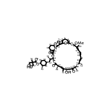 CO[C@H]1C[C@@H]2CC[C@@H](C)[C@@](O)(O2)C(=O)C(=O)N2CCCC[C@H]2C(=O)O[C@H]([C@H](C)C[C@@H]2CC[C@@H](OC(=O)C(C)(CO)CO)[C@H](C)C2)CC(=O)[C@H](C)/C=C(\C)[C@@H](O)[C@@H](C)C(=O)[C@H](C)C[C@H](C)/C=C/C=C/C=C/1C